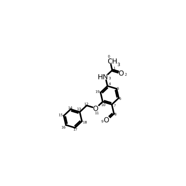 CC(=O)Nc1ccc(C=O)c(OCc2ccccc2)c1